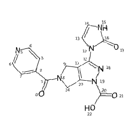 O=C(c1ccncc1)N1Cc2c(-n3cc[nH]c3=O)nn(C(=O)O)c2C1